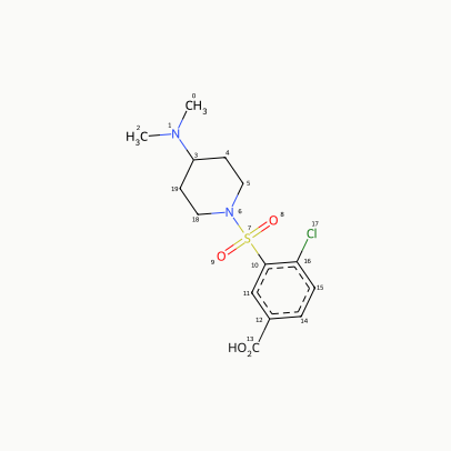 CN(C)C1CCN(S(=O)(=O)c2cc(C(=O)O)ccc2Cl)CC1